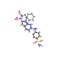 NS(=O)(=O)c1ccc(Nc2ncc3cc4n(c3n2)C2(CCCCC2)CC(=O)N4O)cc1